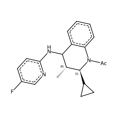 CC(=O)N1c2ccccc2C(Nc2ccc(F)cn2)[C@@H](C)[C@@H]1C1CC1